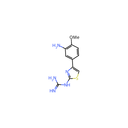 COc1ccc(-c2csc(NC(=N)N)n2)cc1N